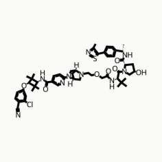 Cc1ncsc1-c1ccc([C@H](C)NC(=O)[C@@H]2C[C@@H](O)CN2C(=O)[C@@H](NC(=O)COCCN2C[C@@H]3C[C@H]2CN3c2ccc(C(=O)N[C@H]3C(C)(C)[C@H](Oc4ccc(C#N)c(Cl)c4)C3(C)C)cn2)C(C)(C)C)cc1